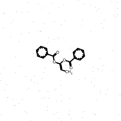 CC=C(OC(=O)c1ccccc1)OC(=O)c1ccccc1